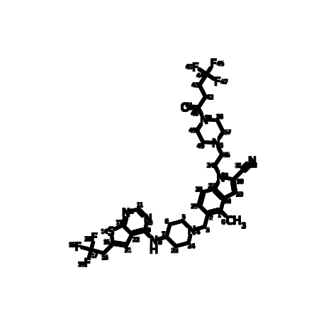 Cc1c(CN2CCC(Nc3ncnc4sc(CC(F)(F)F)cc34)CC2)ccc2c1cc(C#N)n2CCN1CCN(C(=O)CCC(F)(F)F)CC1